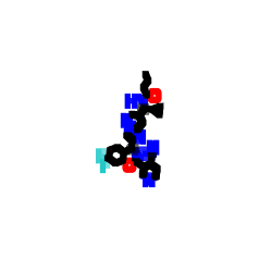 CCCC(=O)N[C@@H](c1cnn2cc([C@@H](NC(=O)c3cnccc3C#N)C3CCC(F)(F)CC3)nc2c1)C1CC1